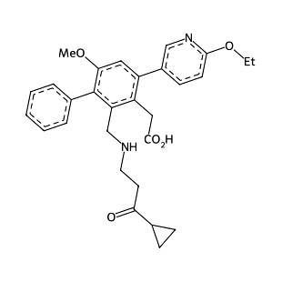 CCOc1ccc(-c2cc(OC)c(-c3ccccc3)c(CNCCC(=O)C3CC3)c2CC(=O)O)cn1